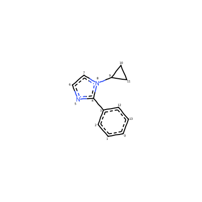 c1ccc(-c2nccn2C2CC2)cc1